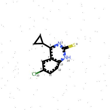 S=c1nc(C2CC2)c2cc(Cl)ccc2[nH]1